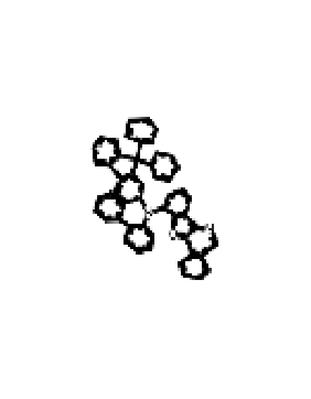 c1ccc(-c2ccccc2N(c2ccc3c(c2)C(c2ccccc2)(c2ccccc2)c2ccccc2-3)c2cccc3c2oc2c4ccccc4cnc32)cc1